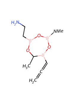 C=C=CB1OB(NC)OB(CCN)OC1C